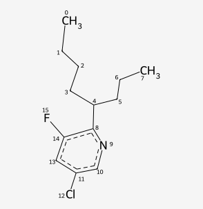 CCCCC(CCC)c1ncc(Cl)cc1F